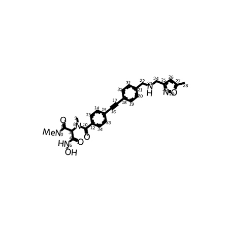 CNC(=O)C(C(=O)NO)N(C)C(=O)c1ccc(C#Cc2ccc(CNCc3cc(C)on3)cc2)cc1